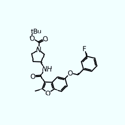 Cc1oc2ccc(OCc3cccc(F)c3)cc2c1C(=O)NC1CCN(C(=O)OC(C)(C)C)C1